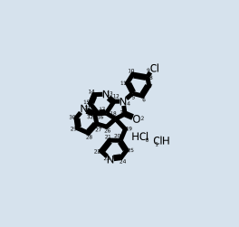 Cl.Cl.O=C1N(c2ccc(Cl)cc2)c2ncccc2C1(Cc1ccncc1)Cc1cccnc1